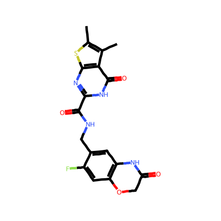 Cc1sc2nc(C(=O)NCc3cc4c(cc3F)OCC(=O)N4)[nH]c(=O)c2c1C